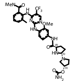 CNC(=O)c1cccc(C)c1Nc1nc(Nc2ccc(NC(=O)[C@H]3CC[C@H](N4CC[C@H](OC(N)=O)C4)N3)cc2OC)ncc1C(F)(F)F